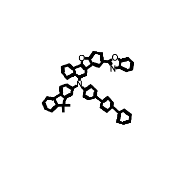 CC1(C)c2ccccc2-c2ccc(N(c3ccc(-c4ccc(-c5ccccc5)cc4)cc3)c3cc4c5cc(-c6nc7ccccc7o6)ccc5oc4c4ccccc34)cc21